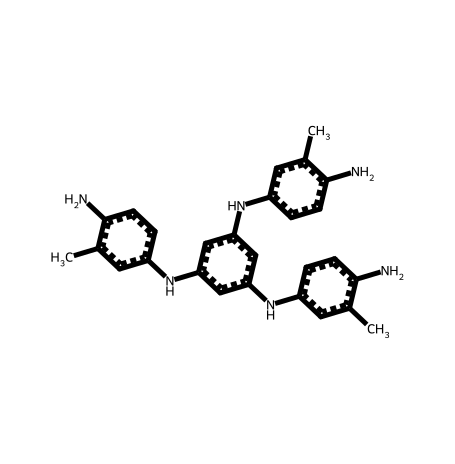 Cc1cc(Nc2cc(Nc3ccc(N)c(C)c3)cc(Nc3ccc(N)c(C)c3)c2)ccc1N